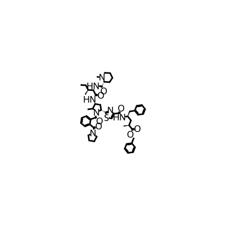 CC[C@H](C)[C@H](NC(=O)[C@H]1CCCCN1C)C(=O)N[C@@H]1C[C@H](c2nc(C(=O)N[C@@H](Cc3ccccc3)C[C@H](C)C(=O)OCc3ccccc3)cs2)N(C(=O)c2ccccc2C(=O)N2CCCC2)C1C